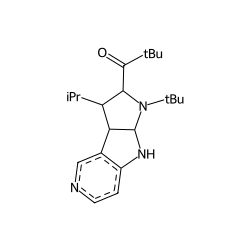 CC(C)C1C2c3cnccc3NC2N(C(C)(C)C)C1C(=O)C(C)(C)C